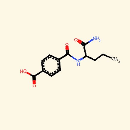 CCCC(NC(=O)c1ccc(C(=O)O)cc1)C(N)=O